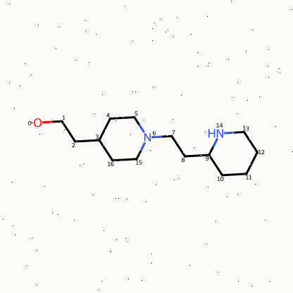 [O]CCC1CCN(CCC2CCCCN2)CC1